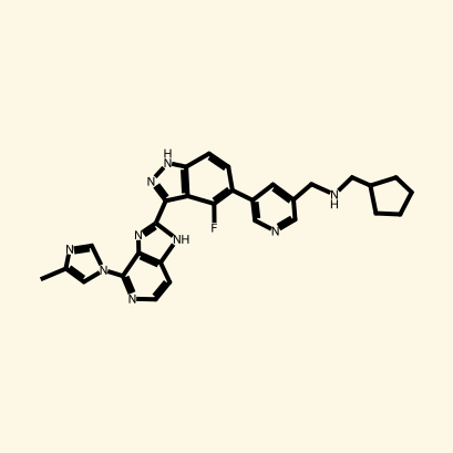 Cc1cn(-c2nccc3[nH]c(-c4n[nH]c5ccc(-c6cncc(CNCC7CCCC7)c6)c(F)c45)nc23)cn1